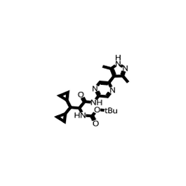 Cc1n[nH]c(C)c1-c1cnc(NC(=O)C(NC(=O)OC(C)(C)C)C(C2CC2)C2CC2)cn1